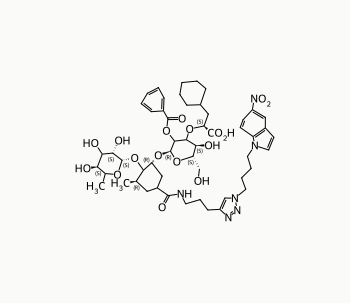 CC1O[C@@H](OC2[C@H](C)CC(C(=O)NCCCc3cn(CCCCn4ccc5cc([N+](=O)[O-])ccc54)nn3)C[C@H]2O[C@@H]2O[C@@H](CO)[C@H](O)C(O[C@@H](CC3CCCCC3)C(=O)O)C2OC(=O)c2ccccc2)[C@@H](O)C(O)[C@@H]1O